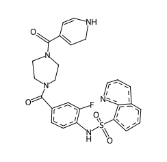 O=C(C1=CCNC=C1)N1CCN(C(=O)c2ccc(NS(=O)(=O)c3cccc4cccnc34)c(F)c2)CC1